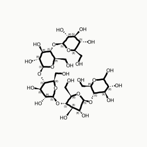 OC[C@H]1O[C@@H](O[C@H]2[C@H](O)[C@@H](O)[C@H](O[C@H]3[C@H](O)[C@@H](O)[C@H](O[C@H]4[C@H](O)[C@@H](O)[C@H](O[C@H]5[C@H](O)[C@@H](O)C(O)O[C@@H]5CO)O[C@@H]4CO)O[C@@H]3CO)O[C@@H]2CO)[C@H](O)[C@@H](O)[C@@H]1O